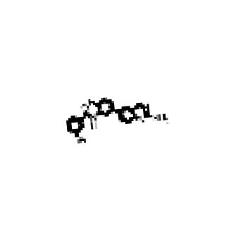 CC(C)c1cccc(C(=O)Nc2cc(-c3ccc4nc(N)ncc4c3)ccc2F)c1